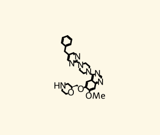 COc1cc2ncnc(N3CCN(c4ncc(Cc5ccccc5)cn4)CC3)c2cc1OC[C@@H]1CNCCO1